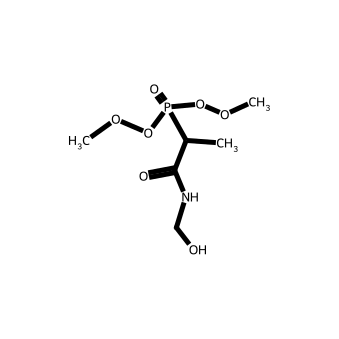 COOP(=O)(OOC)C(C)C(=O)NCO